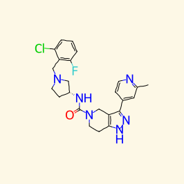 Cc1cc(-c2n[nH]c3c2CN(C(=O)N[C@@H]2CCN(Cc4c(F)cccc4Cl)C2)CC3)ccn1